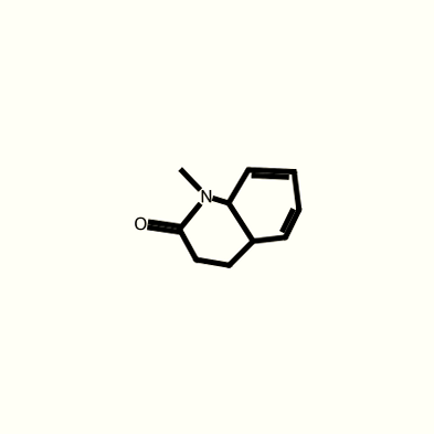 CN1C(=O)CCC2C=CC=CC21